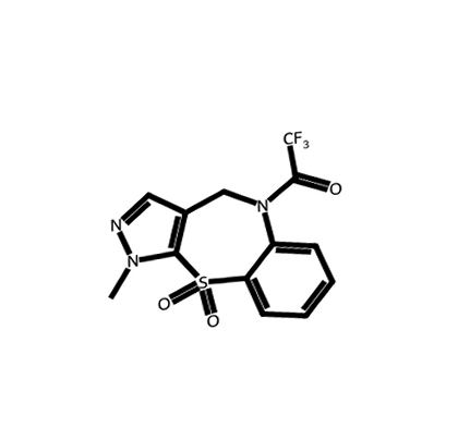 Cn1ncc2c1S(=O)(=O)c1ccccc1N(C(=O)C(F)(F)F)C2